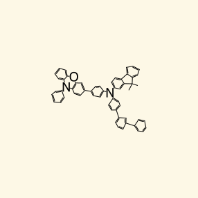 CC1(C)c2ccccc2-c2ccc(N(c3ccc(-c4cccc(-c5ccccc5)c4)cc3)c3ccc(-c4ccc5c(c4)Oc4ccccc4N5c4ccccc4)cc3)cc21